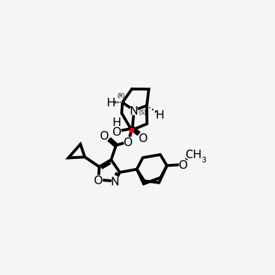 COC12CCC(c3noc(C4CC4)c3C(=O)OC3C[C@H]4CC[C@@H](C3)N4C(=O)O)(CC1)CC2